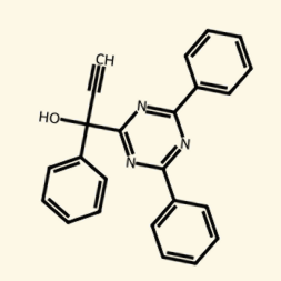 C#CC(O)(c1ccccc1)c1nc(-c2ccccc2)nc(-c2ccccc2)n1